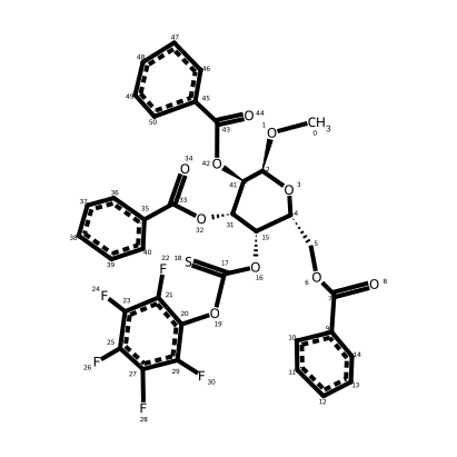 CO[C@H]1O[C@H](COC(=O)c2ccccc2)[C@H](OC(=S)Oc2c(F)c(F)c(F)c(F)c2F)[C@H](OC(=O)c2ccccc2)[C@H]1OC(=O)c1ccccc1